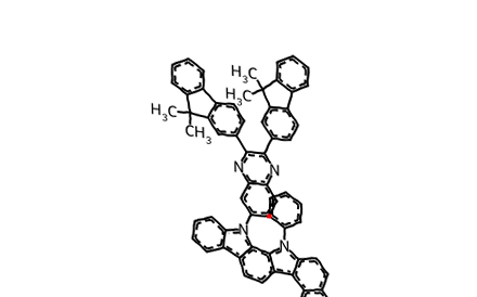 CC1(C)c2ccccc2-c2ccc(-c3nc4ccc(-n5c6ccccc6c6ccc7c8c9ccccc9ccc8n(-c8ccccc8)c7c65)cc4nc3-c3ccc4c(c3)C(C)(C)c3ccccc3-4)cc21